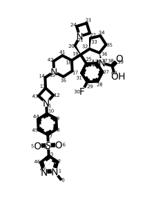 Cn1cc(S(=O)(=O)c2ccc(N3CC(CN4CCC([C@@](CN5CCC5)(c5cccc(F)c5)[C@H]5CCC[C@@H]5NC(=O)O)CC4)C3)cc2)cn1